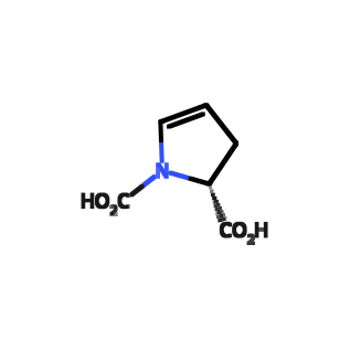 O=C(O)[C@H]1CC=CN1C(=O)O